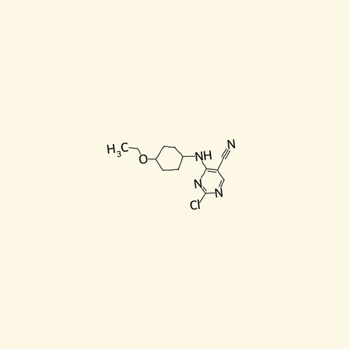 CCOC1CCC(Nc2nc(Cl)ncc2C#N)CC1